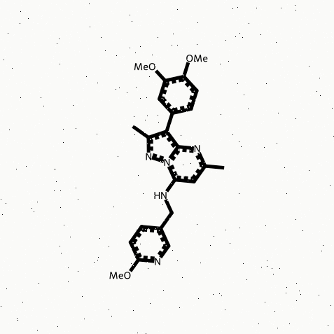 COc1ccc(CNc2cc(C)nc3c(-c4ccc(OC)c(OC)c4)c(C)nn23)cn1